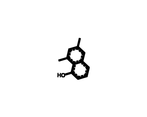 Cc1cc(C)c2c(O)cccc2c1